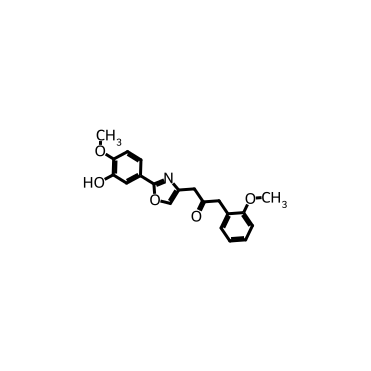 COc1ccc(-c2nc(CC(=O)Cc3ccccc3OC)co2)cc1O